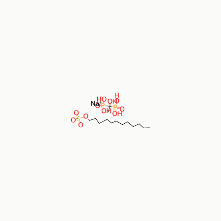 CC(O)(P(=O)(O)O)P(=O)(O)O.CCCCCCCCCCCCOS(=O)(=O)[O-].[Na+]